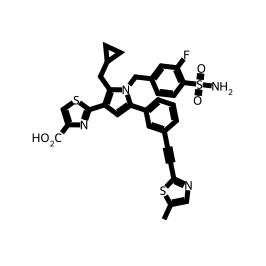 Cc1cnc(C#Cc2cccc(-c3cc(-c4nc(C(=O)O)cs4)c(CC4CC4)n3Cc3ccc(S(N)(=O)=O)c(F)c3)c2)s1